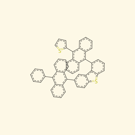 c1ccc(-c2c3ccccc3c(-c3ccc4sc5cccc(-c6c7ccccc7c(-c7cccs7)c7ccccc67)c5c4c3)c3ccccc23)cc1